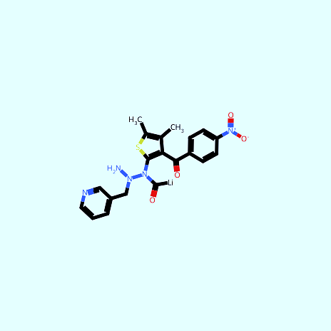 [Li][C](=O)N(c1sc(C)c(C)c1C(=O)c1ccc([N+](=O)[O-])cc1)N(N)Cc1cccnc1